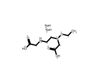 CCON(CCNCC(=O)O)CC(=O)O.[NaH].[NaH]